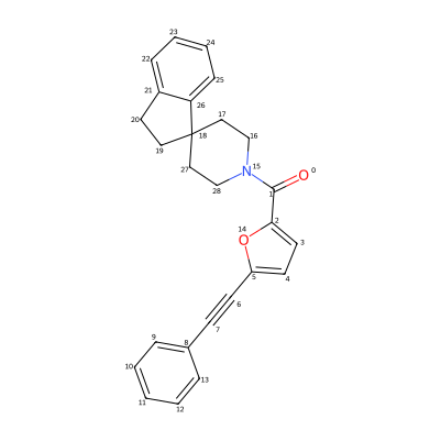 O=C(c1ccc(C#Cc2ccccc2)o1)N1CCC2(CCc3ccccc32)CC1